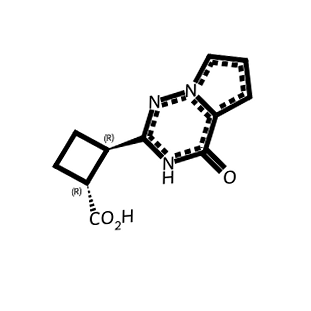 O=C(O)[C@@H]1CC[C@H]1c1nn2cccc2c(=O)[nH]1